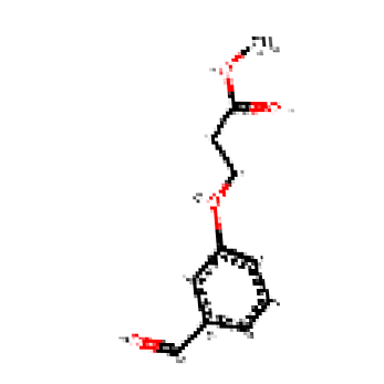 COC(=O)CCOc1cccc(C=O)c1